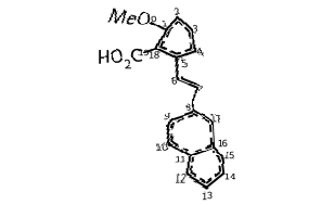 COc1cccc(/C=C/c2ccc3ccccc3c2)c1C(=O)O